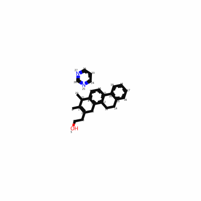 CC1=C(CCO)Cc2c(ccc3c2CCc2ccccc2-3)C1C.c1cncnc1